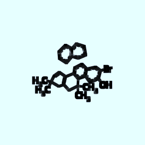 CC1(C)C=CC2=C(C1)CC(C)(C)c1c2ccc2cc(Br)c(O)cc12.c1ccc2ccccc2c1